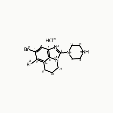 Brc1cc2nc(N3CCNCC3)n3c2c(c1Br)CCC3.Cl